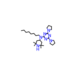 CCCCCCCCN(c1nc(N2CCCC2)nc(N2CCCC2)n1)C1CC(C)(C)NC(C)(C)C1